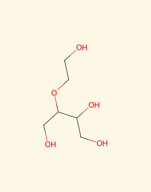 OCCOC(CO)C(O)CO